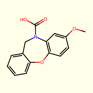 COc1ccc2c(c1)N(C(=O)O)Cc1ccccc1O2